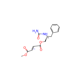 COC(=O)/C=C/C(=O)OC[C@H](Cc1ccccc1)NC(N)=O